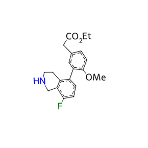 CCOC(=O)Cc1ccc(OC)c(-c2ccc(F)c3c2CCNC3)c1